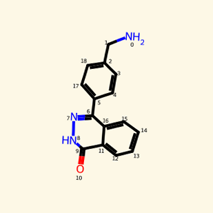 NCc1ccc(-c2n[nH]c(=O)c3ccccc23)cc1